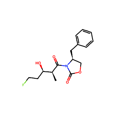 C[C@H](C(=O)N1C(=O)OC[C@@H]1Cc1ccccc1)[C@H](O)CCF